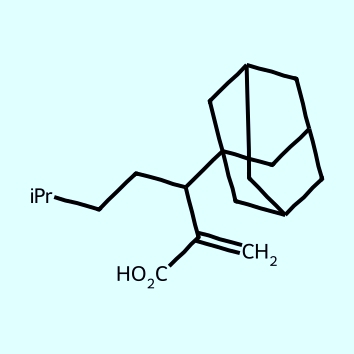 C=C(C(=O)O)C(CCC(C)C)C12CC3CC(CC(C3)C1)C2